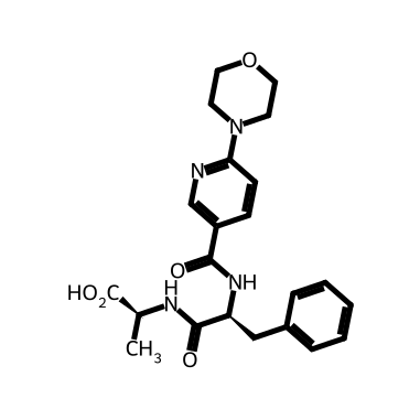 C[C@H](NC(=O)[C@H](Cc1ccccc1)NC(=O)c1ccc(N2CCOCC2)nc1)C(=O)O